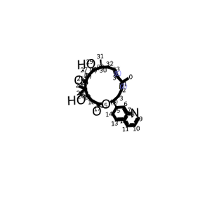 CC1=C/C[C@@H](C2C=c3ncccc3=CC2)OC(=O)C[C@H](O)C(C)(C)C(=O)[C@H](C)[C@@H](O)[C@@H](C)C\C=C\1